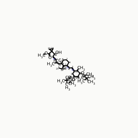 C=C1/C(=C/C=C2\CCC[C@]3(C)[C@@H]([C@H](C)/C=C/[C@@H](O)C4(C(=O)OC)CC4)CC[C@@H]23)C[C@@H](O[Si](C)(C)C(C)(C)C)C[C@@H]1O[Si](C)(C)C(C)(C)C